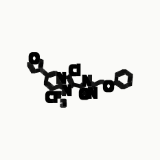 FC(F)(F)c1cc(-c2ccoc2)cn2c(Cl)c(-c3nc(COc4ccccc4)no3)nc12